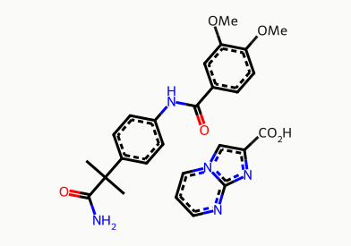 COc1ccc(C(=O)Nc2ccc(C(C)(C)C(N)=O)cc2)cc1OC.O=C(O)c1cn2cccnc2n1